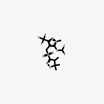 CC1C(S(=O)(=O)Cc2c(C(F)(F)F)nn(C)c2OC(F)F)=NOC1(C)C